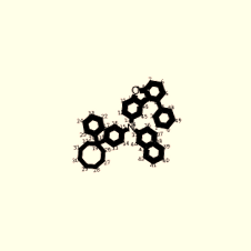 c1ccc(-c2cccc3oc4ccc(N(c5ccc(C6(c7ccccc7)CCCCCCC6)cc5)c5ccc6ccccc6c5)cc4c23)cc1